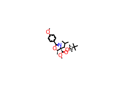 COC(=O)[C@]1([C@@H](O[Si](C)(C)C(C)(C)C)C(C)C)N=C(c2ccc(OC)cc2)O[C@@H]1C